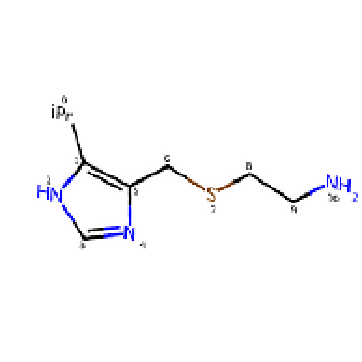 CC(C)c1[nH]cnc1CSCCN